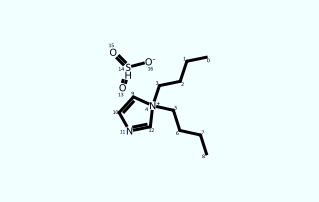 CCCC[N+]1(CCCC)C=CN=C1.O=[SH](=O)[O-]